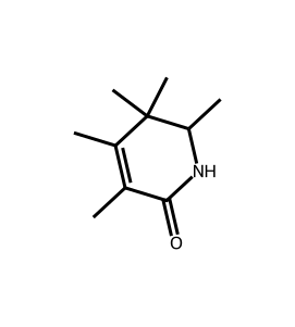 CC1=C(C)C(C)(C)C(C)NC1=O